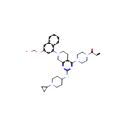 C=CC(=O)N1CCN(c2nc(NC3CCN(C4CC4)CC3)nc3c2CCN(c2cc(OCOC)cc4ccccc24)C3)CC1